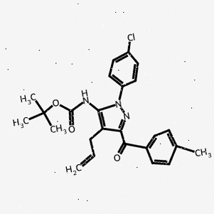 C=CCc1c(C(=O)c2ccc(C)cc2)nn(-c2ccc(Cl)cc2)c1NC(=O)OC(C)(C)C